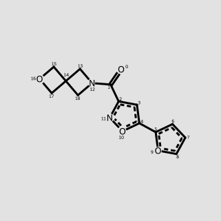 O=C(c1cc(-c2ccco2)on1)N1CC2(COC2)C1